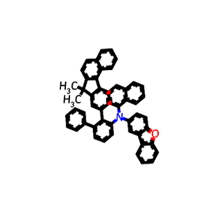 CC1(C)c2cc(-c3c(-c4ccccc4)cccc3N(c3ccc4oc5ccccc5c4c3)c3cccc4ccccc34)ccc2-c2c1ccc1ccccc21